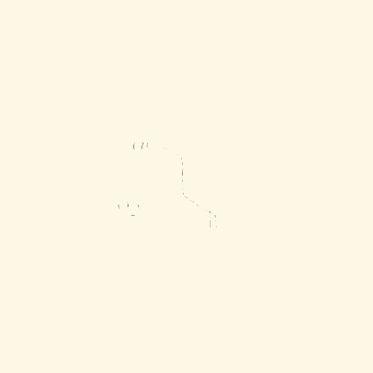 CC(C)(C)N[C@@H](CO)C(=O)O